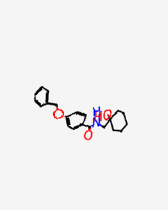 O=C(NCC1(O)CCCCC1)c1ccc(OCc2ccccc2)cc1